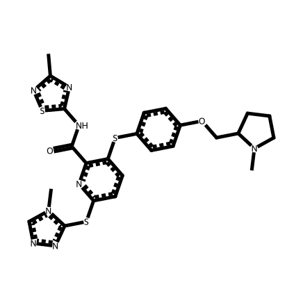 Cc1nsc(NC(=O)c2nc(Sc3nncn3C)ccc2Sc2ccc(OCC3CCCN3C)cc2)n1